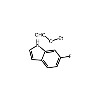 CCOC=O.Fc1ccc2cc[nH]c2c1